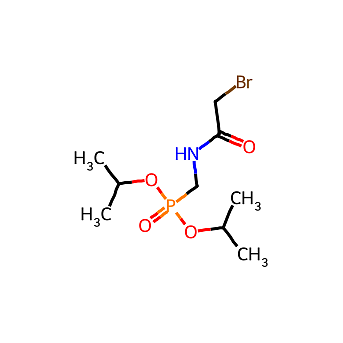 CC(C)OP(=O)(CNC(=O)CBr)OC(C)C